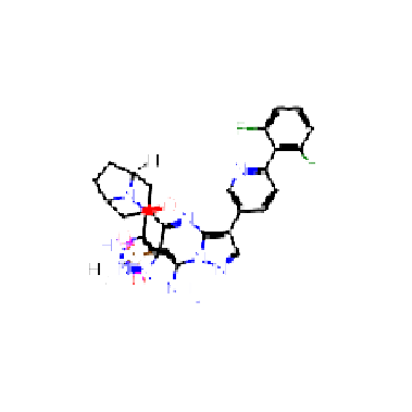 CS(=O)(=O)c1c(C2CC3CC[C@H](C2)N3C(=O)c2cnn[nH]2)nc2c(-c3ccc(-c4c(F)cccc4F)nc3)cnn2c1N